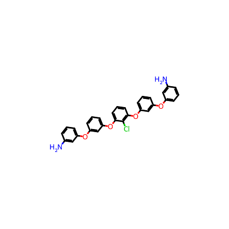 Nc1cccc(Oc2cccc(Oc3cccc(Oc4cccc(Oc5cccc(N)c5)c4)c3Cl)c2)c1